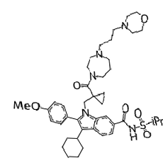 COc1ccc(-c2c(C3CCCCC3)c3ccc(C(=O)NS(=O)(=O)C(C)C)cc3n2CC2(C(=O)N3CCCN(CCCN4CCOCC4)CC3)CC2)cc1